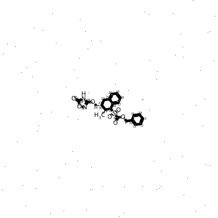 C[C@H]1C(S(=O)(=O)C(=O)OCc2ccccc2)c2ccccc2C[C@H]1COc1noc(=O)[nH]1